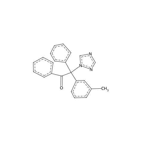 Cc1cccc(C(C(=O)c2ccccc2)(c2ccccc2)n2cncn2)c1